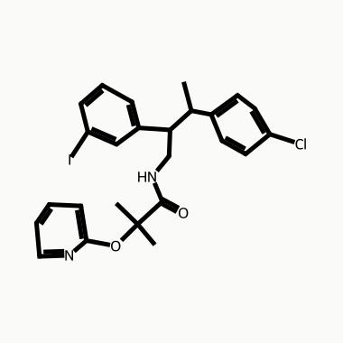 CC(c1ccc(Cl)cc1)C(CNC(=O)C(C)(C)Oc1ccccn1)c1cccc(I)c1